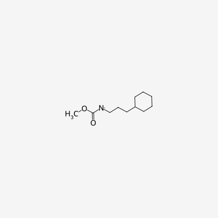 COC(=O)[N]CCCC1CCCCC1